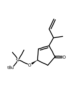 C=CC(C)C1=C[C@H](O[Si](C)(C)C(C)(C)C)CC1=O